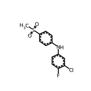 CS(=O)(=O)c1ccc(Nc2ccc(F)c(Cl)c2)cc1